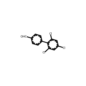 O=Cc1ccc(-c2c(Cl)cc(Cl)cc2Cl)cc1